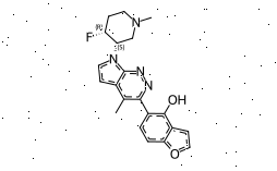 Cc1c(-c2ccc3occc3c2O)nnc2c1ccn2[C@H]1CN(C)CC[C@H]1F